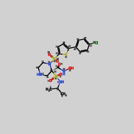 CC(C)NS(=O)(=O)[C@@]1(C(=O)NO)CNCCN1S(=O)(=O)c1ccc(-c2ccc(Cl)cc2)s1